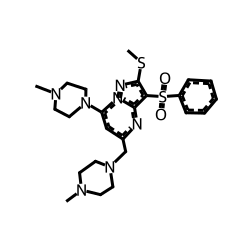 CSc1nn2c(N3CCN(C)CC3)cc(CN3CCN(C)CC3)nc2c1S(=O)(=O)c1ccccc1